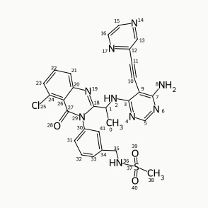 CC(Nc1ncnc(N)c1C#Cc1cnccn1)c1nc2cccc(Cl)c2c(=O)n1-c1cccc(CNS(C)(=O)=O)c1